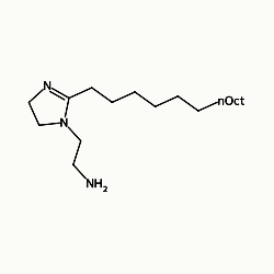 CCCCCCCCCCCCCCC1=NCCN1CCN